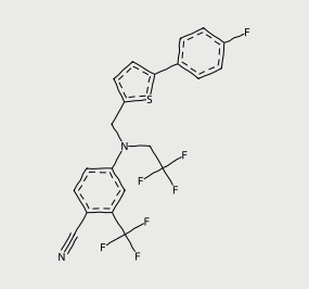 N#Cc1ccc(N(Cc2ccc(-c3ccc(F)cc3)s2)CC(F)(F)F)cc1C(F)(F)F